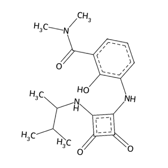 CC(C)C(C)Nc1c(Nc2cccc(C(=O)N(C)C)c2O)c(=O)c1=O